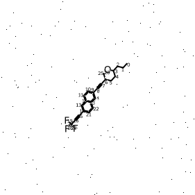 CCCC1CCC(C#Cc2ccc3cc(C#CC(F)(F)F)ccc3c2)CO1